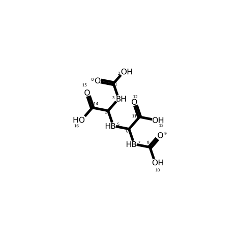 O=C(O)BC(BC(BC(=O)O)C(=O)O)C(=O)O